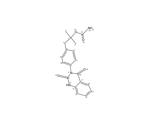 CC(C)(Cc1ccc(-n2c(=O)[nH]c3ccccc3c2=O)cc1)OC(N)=O